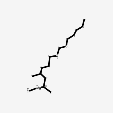 CCCCCOCOCCCC(C)C[CH](C)[Mg][Cl]